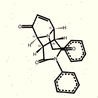 O=C1C=C[C@H]2[C@@H]3C(=O)N(c4ccccc4)C(=O)[C@@H]3[C@@H]1N2Cc1ccccc1